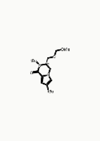 COCOC[C@H]1Cn2cc(C(C)(C)C)cc2C(=O)N1C(C)(C)C